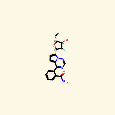 NC(=O)c1ccccc1-c1ncnn2c([C@@H]3O[C@H](CI)[C@@H](O)[C@H]3F)ccc12